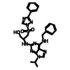 CC(C)n1cnc2c(NCc3ccccc3)nc(NC(CO)CS(=O)(=O)n3cnc(-c4ccccc4)n3)nc21